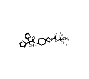 CC(C)(C)OC(=O)N1CC2(CCC(OC(=O)C(O)(c3cccs3)c3cccs3)CC2)C1